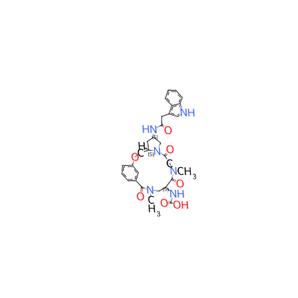 CN1C[C@H](NC(=O)O)C(=O)N(C)CC(=O)N2C[C@@H](NC(=O)Cc3c[nH]c4ccccc34)C[C@H]2COc2cccc(c2)C1=O